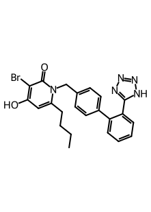 CCCCc1cc(O)c(Br)c(=O)n1Cc1ccc(-c2ccccc2-c2nnn[nH]2)cc1